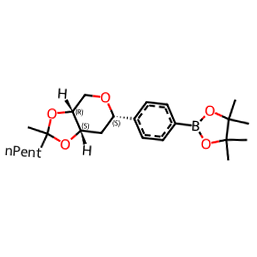 CCCCCC1(C)O[C@H]2C[C@@H](c3ccc(B4OC(C)(C)C(C)(C)O4)cc3)OC[C@H]2O1